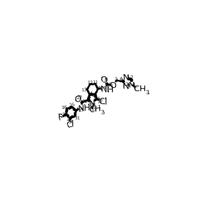 Cn1cnc(COC(=O)NC2CCCc3c2c(Cl)n(C)c3C(=O)Nc2ccc(F)c(Cl)c2)n1